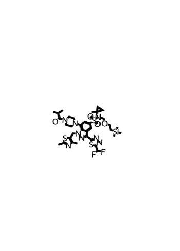 Cc1nc(C)c(Cn2nc(-c3nnc(C(F)F)s3)c3cc(S(=O)(=O)N(COCC[Si](C)(C)C)C4(C)CC4)cc(N4CCN(C(=O)C(C)C)CC4)c32)s1